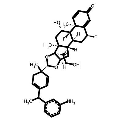 CC(C1=CCC(C)([C@H]2O[C@@H]3C[C@H]4[C@@H]5C[C@H](F)C6=CC(=O)C=C[C@]6(C)[C@@]5(F)[C@@H](O)C[C@]4(C)[C@]3(C(=O)CO)O2)C=C1)c1cccc(N)c1